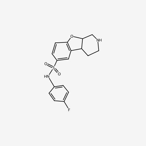 O=S(=O)(Nc1ccc(F)cc1)c1ccc2c(c1)C1CCNCC1O2